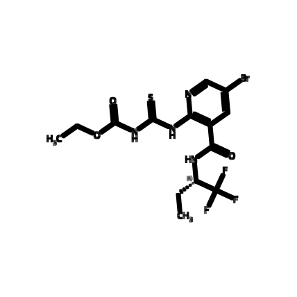 CCOC(=O)NC(=S)Nc1ncc(Br)cc1C(=O)N[C@@H](CC)C(F)(F)F